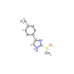 C[S+]([O-])c1nc(-c2ccc([N+](=O)[O-])cc2)c[nH]1